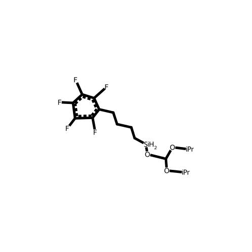 CC(C)OC(O[SiH2]CCCCc1c(F)c(F)c(F)c(F)c1F)OC(C)C